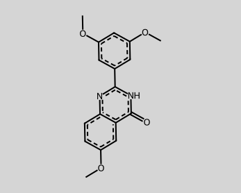 COc1cc(OC)cc(-c2nc3ccc(OC)cc3c(=O)[nH]2)c1